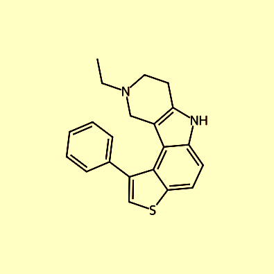 CCN1CCc2[nH]c3ccc4scc(-c5ccccc5)c4c3c2C1